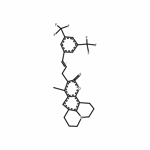 Cc1c(C/C=C/c2cc(C(F)(F)F)cc(C(F)(F)F)c2)c(=S)oc2c3c4c(cc12)CCCN4CCC3